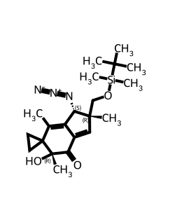 CC1=C2C(=C[C@@](C)(CO[Si](C)(C)C(C)(C)C)[C@H]2N=[N+]=[N-])C(=O)[C@](C)(O)C12CC2